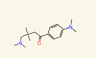 CN(C)CC(C)(C)CC(=O)c1ccc(N(C)C)cc1